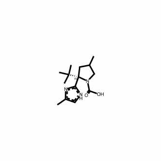 Cc1c[nH]c([C@@]2(C(C)(C)C)CC(C)CN2C(=O)O)n1